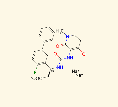 Cn1ccc([O-])c(NC(=O)N[C@@H](CC(=O)[O-])c2cc(-c3ccccc3)ccc2F)c1=O.[Na+].[Na+]